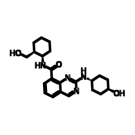 O=C(N[C@@H]1CCCC[C@@H]1CO)c1cccc2cnc(N[C@H]3CC[C@H](O)CC3)nc12